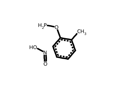 Cc1ccccc1OP.O=NO